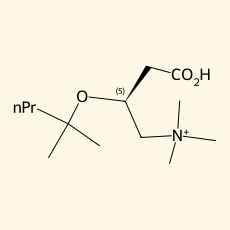 CCCC(C)(C)O[C@@H](CC(=O)O)C[N+](C)(C)C